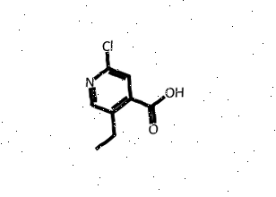 CCc1cnc(Cl)cc1C(=O)O